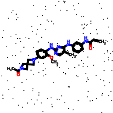 C=CC(=O)Nc1cccc(Nc2nc(Nc3ccc(N4CC5(CN(C(C)=O)C5)C4)cc3OC)ncc2C)c1